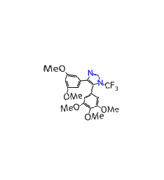 COc1cc(OC)cc(-c2ncn(C(F)(F)F)c2-c2cc(OC)c(OC)c(OC)c2)c1